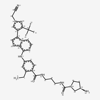 CCc1cc(Nc2nccn3c(-c4cn(CC#N)nc4C(F)(F)F)cnc23)ccc1C(=O)NCCCNC(=O)N1CC[C@@H](N)C1